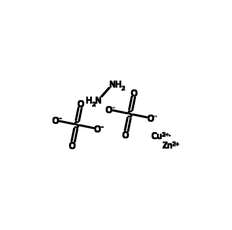 NN.O=S(=O)([O-])[O-].O=S(=O)([O-])[O-].[Cu+2].[Zn+2]